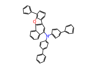 c1ccc(-c2ccc(N(c3ccc(-c4ccccc4)cc3)c3cc4c5cccc(-c6ccccc6)c5oc4c4ccccc34)cc2)cc1